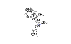 C=CCO/N=C(\COC[C@@H](C)[C@H]1CC[C@H]2C(=O)CCC[C@]12C)C(C)(C)C